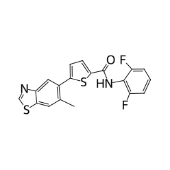 Cc1cc2scnc2cc1-c1ccc(C(=O)Nc2c(F)cccc2F)s1